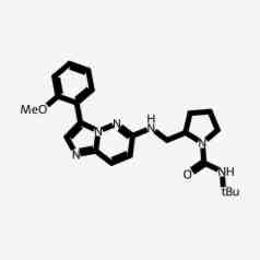 COc1ccccc1-c1cnc2ccc(NCC3CCCN3C(=O)NC(C)(C)C)nn12